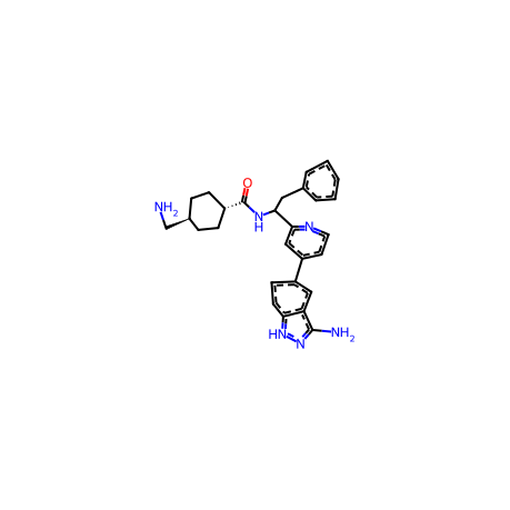 NC[C@H]1CC[C@H](C(=O)NC(Cc2ccccc2)c2cc(-c3ccc4[nH]nc(N)c4c3)ccn2)CC1